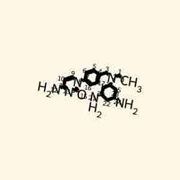 CCN(Cc1ccc(-n2ccc(N)nc2=O)cc1)C1C[C@@H](N)C[C@@H](N)C1